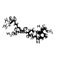 COC(=O)NC(CCC=CC(=O)N(C)C)C(=O)Nc1cccn(Cc2nc3c(CC(C)C)cc(F)cc3[nH]2)c1=O